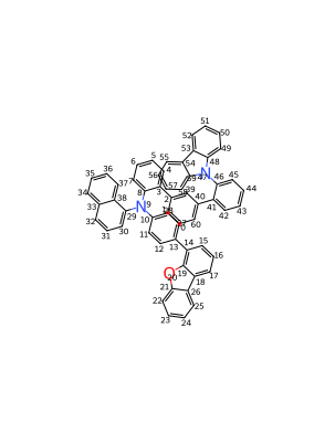 c1cc(-c2ccccc2N(c2ccc(-c3cccc4c3oc3ccccc34)cc2)c2cccc3ccccc23)cc(-c2ccccc2-n2c3ccccc3c3ccccc32)c1